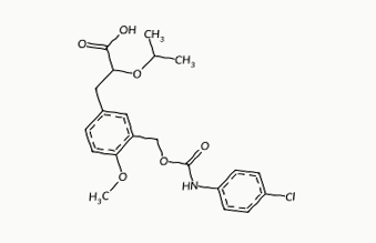 COc1ccc(CC(OC(C)C)C(=O)O)cc1COC(=O)Nc1ccc(Cl)cc1